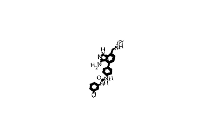 CC(C)NCc1ccc(-c2ccc(NC(=O)Nc3cccc(Cl)c3)cc2)c2c(N)n[nH]c12